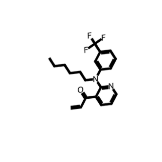 C=CC(=O)c1cccnc1N(CCCCCC)c1cccc(C(F)(F)F)c1